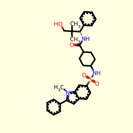 Cn1c(-c2ccccc2)cc2ccc(S(=O)(=O)NC3CCC(C(=O)N[C@@H](c4ccccc4)C(C)(C)CO)CC3)cc21